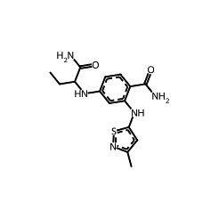 CCC(Nc1ccc(C(N)=O)c(Nc2cc(C)ns2)c1)C(N)=O